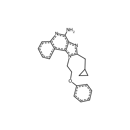 Nc1nc2ccccc2c2c1nc(CC1CC1)n2CCOc1ccccc1